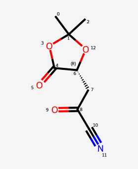 CC1(C)OC(=O)[C@@H](CC(=O)C#N)O1